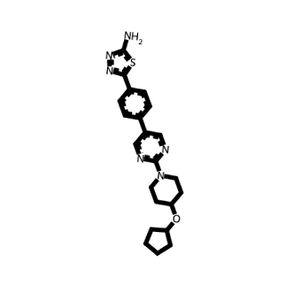 Nc1nnc(-c2ccc(-c3cnc(N4CCC(OC5CCCC5)CC4)nc3)cc2)s1